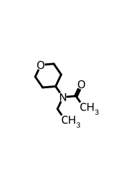 CCN(C(C)=O)C1CCOCC1